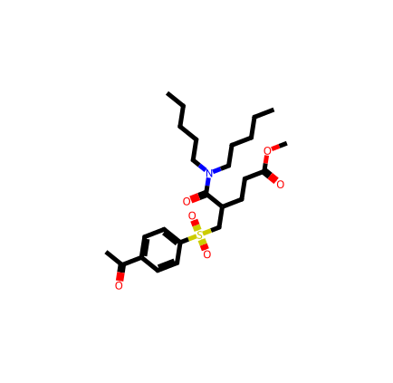 CCCCCN(CCCCC)C(=O)C(CCC(=O)OC)CS(=O)(=O)c1ccc(C(C)=O)cc1